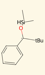 C[SiH](C)O[C](c1ccccc1)C(C)(C)C